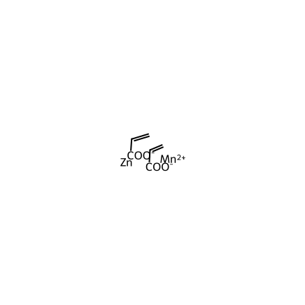 C=CC(=O)[O-].C=CC(=O)[O-].[Mn+2].[Zn]